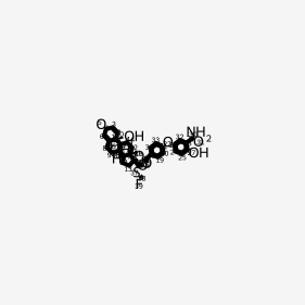 C[C@]12C=CC(=O)C=C1CC[C@H]1[C@@H]3CC[C@](OC(=O)c4ccc(Oc5ccc(O)c(C(N)=O)c5)cc4)(C(=O)SCF)[C@@]3(C)C[C@H](O)[C@@]12F